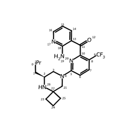 CC(C)C[C@H]1CN(c2ccc(C(F)(F)F)c(C(=O)c3cccnc3N)n2)CC2(CCC2)N1